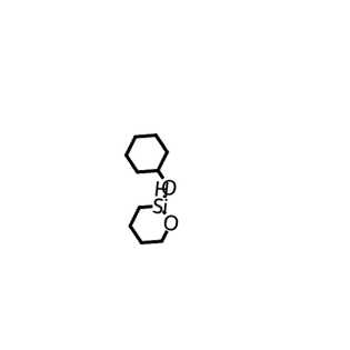 C1CCC(O[SiH]2CCCCO2)CC1